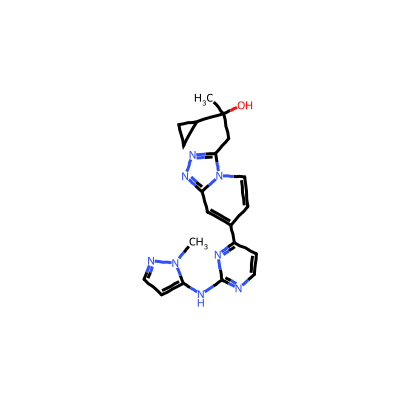 Cn1nccc1Nc1nccc(-c2ccn3c(CC(C)(O)C4CC4)nnc3c2)n1